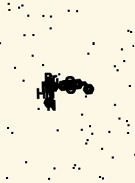 O=S(=O)(c1ccc(Cc2ccccc2)cc1)N1CCC(c2cc(NCc3cccnc3)n3ncc(Br)c3n2)CC1